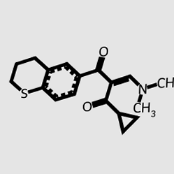 CN(C)C=C(C(=O)c1ccc2c(c1)CCCS2)C(=O)C1CC1